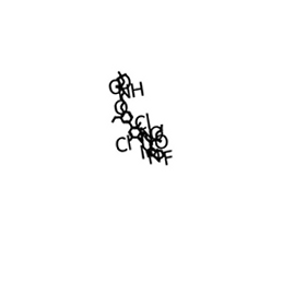 CCOC(=O)C(c1ncn2c1CC(F)C2)n1cc2c(Cl)cc(-c3ccc(OCCNC(=O)OC(C)(C)C)c(CC)c3)c(Cl)c2n1